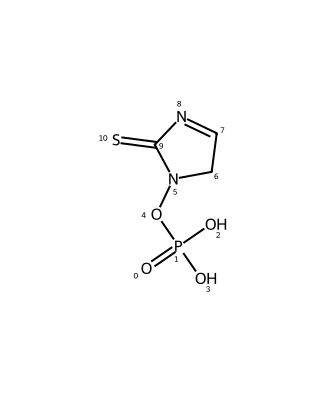 O=P(O)(O)ON1CC=NC1=S